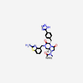 CNC(=O)N(C)N1CC(=O)N2[C@@H](Cc3ccc(-c4nnn[nH]4)cc3)C(=O)N(Cc3cccc4sc(N)nc34)C[C@@H]21